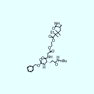 CCCCNC(=O)CC[C@H](NC(=O)OCc1ccccc1)C(=O)NCC(=O)OCCOC(=O)C(C)(CC)C(C)(C)CC(C)C(N)=O